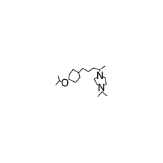 CC(C)OC1CCC(CCC[C@@H](C)N2CCN(C(C)C)CC2)CC1